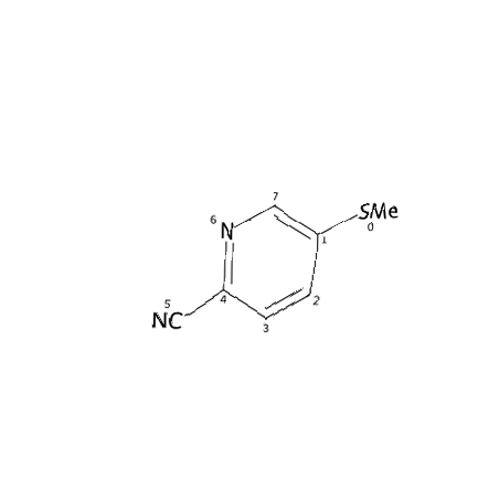 [CH2]Sc1ccc(C#N)nc1